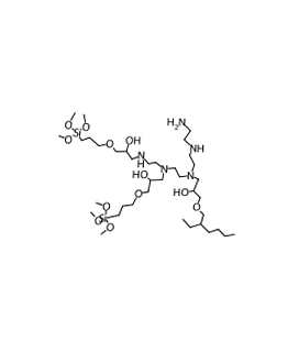 CCCCC(CC)COCC(O)CN(CCNCCN)CCN(CCNCC(O)COCCC[Si](OC)(OC)OC)CC(O)COCCC[Si](OC)(OC)OC